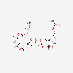 CCC(C)C(=O)OCCC[Si](C)(OC)O[Si](C)(C)O[Si](C)(C)O[Si](C)(C)O[Si](C)(C)O[Si](C)(C)O[Si](C)(C)O[Si](C)(C)O[Si](C)(C)O[Si](C)(C)O[SiH](C)C